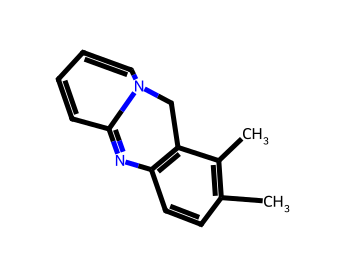 Cc1ccc2c(c1C)CN1C=CC=CC1=N2